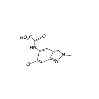 Cn1cc2cc(NC(=O)C(=O)O)c(Cl)cc2n1